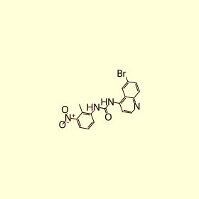 Cc1c(NC(=O)Nc2ccnc3ccc(Br)cc23)cccc1[N+](=O)[O-]